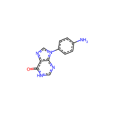 Nc1ccc(-n2cnc3c(=O)[nH]cnc32)cc1